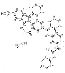 Cl.Cl.O=C(CN1CCOCC1)Nc1ccc(N2CCOCC2)c(COc2ccc3c(c2)OCCn2c-3c(C3CCCCC3)c3ccc(C(=O)O)cc32)c1